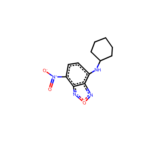 O=[N+]([O-])c1ccc(NC2CCCCC2)c2nonc12